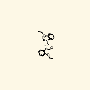 CCOc1ccccc1N(C=O)SSN(C=O)c1ccccc1OCC